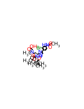 COC(=O)Nc1ccc(-c2cn(COCC[Si](C)(C)C)c([C@H](CCN(C)CC(=O)O)NC(=O)OC(C)(C)C)n2)c(Br)c1